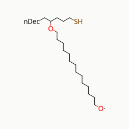 CCCCCCCCCCCC(CCCS)OCCCCCCCCCCCCCC[O]